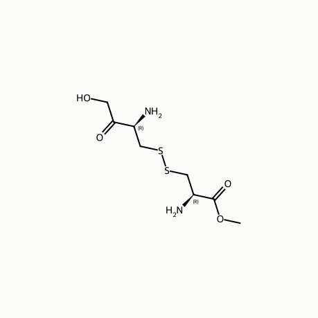 COC(=O)[C@@H](N)CSSC[C@H](N)C(=O)CO